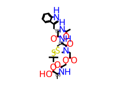 CC(=O)N[C@@H](Cc1c[nH]c2ccccc12)C(=O)N[C@H](CSSC(C)(C)C)C(=O)N(C)CC(=O)OCC(=O)N[C@@H](C)C(=O)O